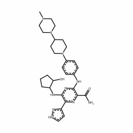 CN1CCN(C2CCN(c3ccc(Nc4nc(NC5CCCC5O)c(-c5cc[nH]n5)nc4C(N)=O)cc3)CC2)CC1